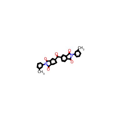 Cc1cccc(N2C(=O)c3ccc(C(=O)c4ccc5c(c4)C(=O)N(c4cccc(C)c4)C5=O)cc3C2=O)c1